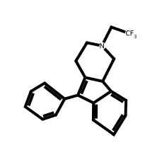 FC(F)(F)CN1CCC2=C(c3ccccc3)c3ccccc3C2C1